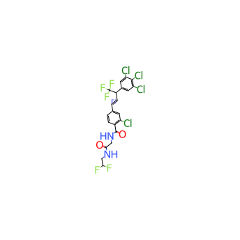 O=C(CNC(=O)c1ccc(/C=C/C(c2cc(Cl)c(Cl)c(Cl)c2)C(F)(F)F)cc1Cl)NCC(F)F